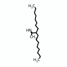 CCCCCCCCC(CCCCCCCC)C(C)=N